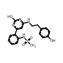 CS(=O)(=O)Nc1ccccc1-c1cc(NCCc2ccc(O)cc2)nc(O)n1